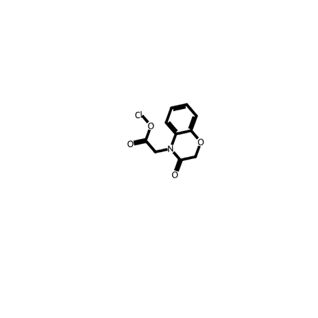 O=C(CN1C(=O)COc2ccccc21)OCl